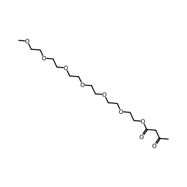 COCCOCCOCCOCCOCCOCCOC(=O)CC(C)=O